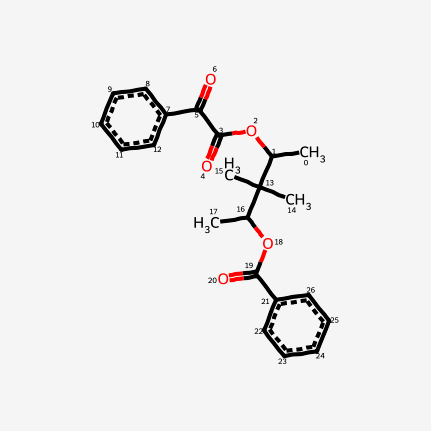 CC(OC(=O)C(=O)c1ccccc1)C(C)(C)C(C)OC(=O)c1ccccc1